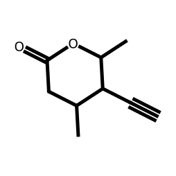 C#CC1C(C)CC(=O)OC1C